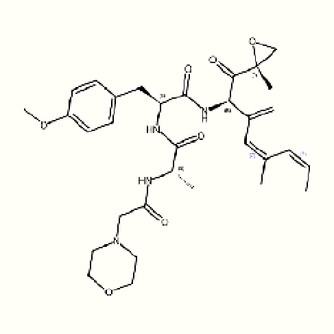 C=C(/C=C(C)\C=C/C)[C@@H](NC(=O)[C@H](Cc1ccc(OC)cc1)NC(=O)[C@H](C)NC(=O)CN1CCOCC1)C(=O)[C@@]1(C)CO1